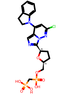 O=P(O)(O)CP(=O)(O)OC[C@@H]1CC[C@H](c2ncc3c(N4CCc5ccccc54)cc(Cl)nn23)O1